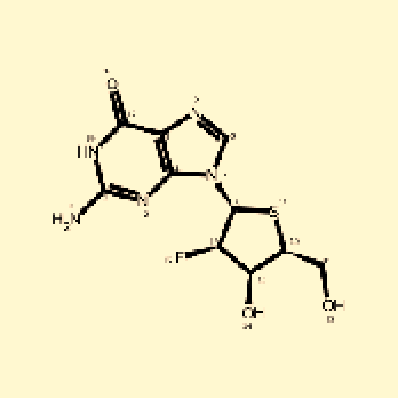 Nc1nc2c(ncn2[C@H]2S[C@@H](CO)[C@@H](O)[C@H]2F)c(=O)[nH]1